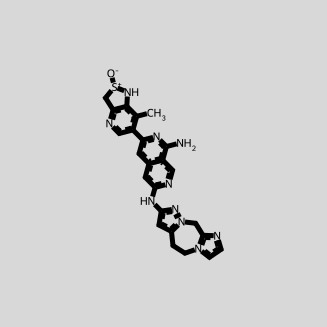 Cc1c(-c2cc3cc(Nc4cc5n(n4)Cc4nccn4CC5)ncc3c(N)n2)cnc2c1N[S+]([O-])C2